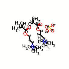 C=C(C)C(=O)OCCC[N+](C)(C)C.C=C(C)C(=O)OCCC[N+](C)(C)C.O=S(=O)([O-])[O-]